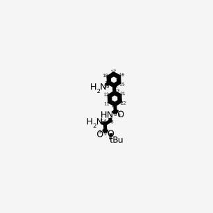 CC(C)(C)OC(=O)C(N)CNC(=O)c1ccc(-c2ccccc2N)cc1